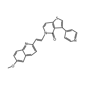 COc1ccc2nc(C=Cn3ccc4scc(-c5ccncc5)c4c3=O)ccc2c1